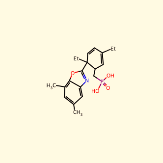 CCC1=CC(CP(=O)(O)O)C(CC)(c2nc3cc(C)cc(C)c3o2)C=C1